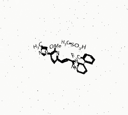 COc1nc(/C=C/c2nc3n(n2)CCC[C@H]3c2ccccc2C(F)(F)F)ccc1-n1cnc(C)c1.CS(=O)(=O)O